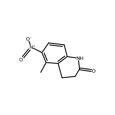 Cc1c([N+](=O)[O-])ccc2c1CCC(=O)N2